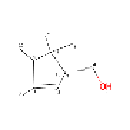 CC1=C[C@@H](CO)C(C)(C)C1C